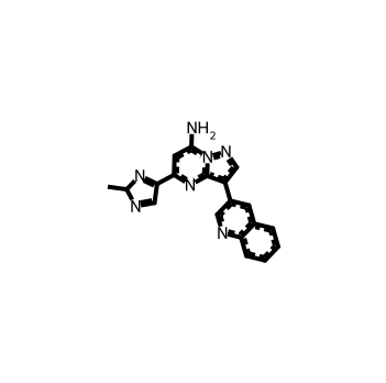 CC1N=CC(c2cc(N)n3ncc(-c4cnc5ccccc5c4)c3n2)=N1